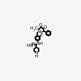 C[C@H]1C(=O)C(=O)C(c2ccccc2)SN1Cc1ccc(NC(=NO)C2CCNCC2)cc1F